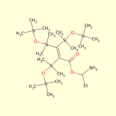 CCC([SiH3])OC(=O)C(=C([Si](C)(C)O[Si](C)(C)C)[Si](C)(C)O[Si](C)(C)C)[Si](C)(C)O[Si](C)(C)C